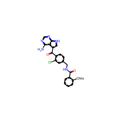 COc1ccccc1C(=O)NCc1ccc(C(=O)c2c[nH]c3ncnc(N)c23)c(Cl)c1